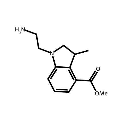 COC(=O)c1cccc2c1C(C)CN2CCN